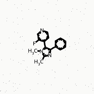 Cc1nc(-c2ccccc2)c(-c2ccncc2F)n1C